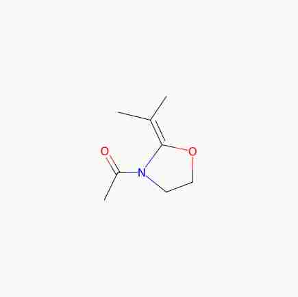 CC(=O)N1CCOC1=C(C)C